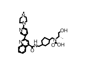 C[C@@H](CO)N(CC1CCC(CNC(=O)c2cc(-c3ccc(N4CCN(C)CC4)nc3)nc3ccccc23)CC1)C(=O)O